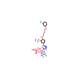 C[C@](N)(COP(=O)(O)O)c1nnc(-c2ccc(OCCCCOc3cccc(F)c3)c(C(F)(F)F)c2)s1